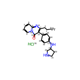 CC(C)CCc1nc2ccccn2c(=O)c1-c1ccc(NC2CCNC2)cc1.Cl